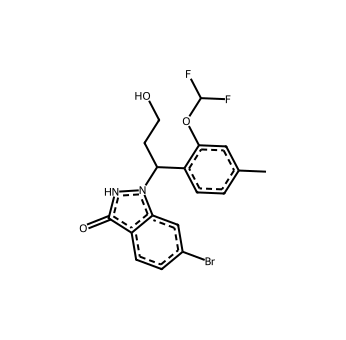 Cc1ccc(C(CCO)n2[nH]c(=O)c3ccc(Br)cc32)c(OC(F)F)c1